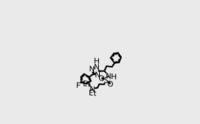 CCN(CC)CCCS(=O)(=O)NC(CCc1ccccc1)c1nc(-c2ccc(F)cc2)n[nH]1